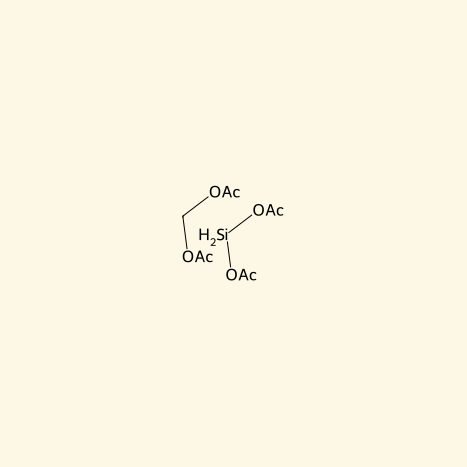 CC(=O)OCOC(C)=O.CC(=O)O[SiH2]OC(C)=O